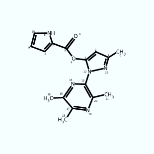 Cc1cc(OC(=O)c2ccc[nH]2)n(-c2nc(C)c(C)nc2C)n1